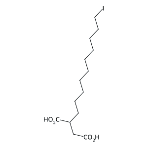 O=C(O)CC(CCCCCCCCCCI)C(=O)O